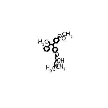 CCC(=C(c1ccc(OCC(O)CN(C)C)cc1)c1ccc(OC(C)=O)cc1)c1ccccc1